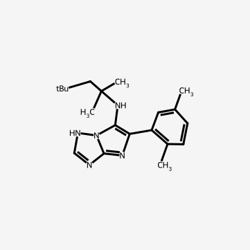 Cc1ccc(C)c(-c2nc3nc[nH]n3c2NC(C)(C)CC(C)(C)C)c1